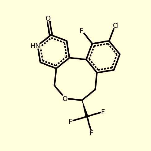 O=c1cc2c(c[nH]1)CO[C@H](C(F)(F)F)Cc1ccc(Cl)c(F)c1-2